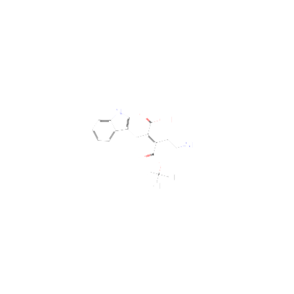 CC(C)(C)OC(=O)C(CCN)=C(Cc1c[nH]c2ccccc12)C(=O)O